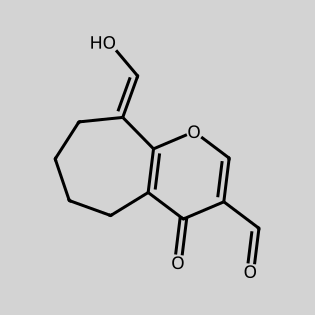 O=Cc1coc2c(c1=O)CCCCC2=CO